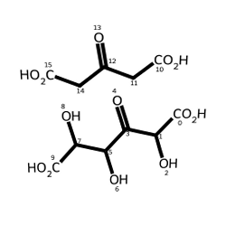 O=C(O)C(O)C(=O)C(O)C(O)C(=O)O.O=C(O)CC(=O)CC(=O)O